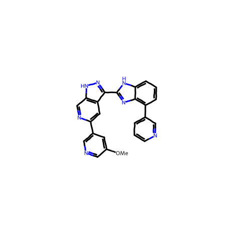 COc1cncc(-c2cc3c(-c4nc5c(-c6cccnc6)cccc5[nH]4)n[nH]c3cn2)c1